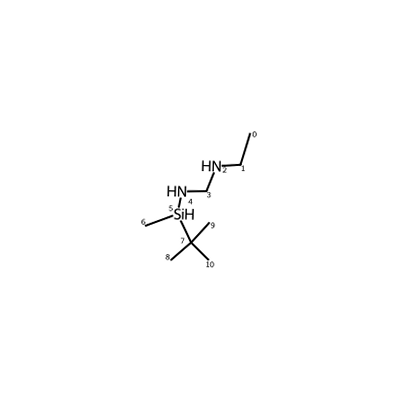 CCNCN[SiH](C)C(C)(C)C